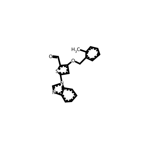 Cc1ccccc1COc1cc(-n2cnc3ccccc32)sc1C=O